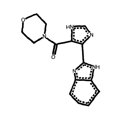 O=C(c1[nH]cnc1-c1nc2ccccc2[nH]1)N1CCOCC1